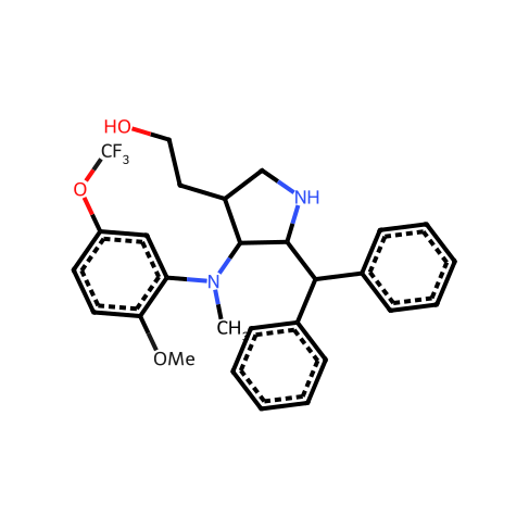 COc1ccc(OC(F)(F)F)cc1N(C)C1C(CCO)CNC1C(c1ccccc1)c1ccccc1